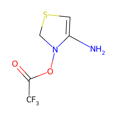 NC1=CSCN1OC(=O)C(F)(F)F